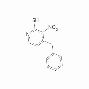 O=[N+]([O-])c1c(Cc2ccccc2)ccnc1S